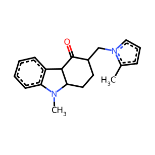 Cc1cccn1CC1CCC2C(C1=O)c1ccccc1N2C